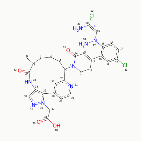 CC1CCCC(N2CCC(c3cc(Cl)ccc3N(N)/C=C(\N)Cl)=CC2=O)c2cc(ccn2)-c2c(cnn2CC(=O)O)NC1=O